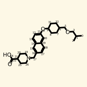 CC(C)COCC1CCC(Oc2ccc3cc(CN4CCC(C(=O)O)CC4)ccc3c2)CC1